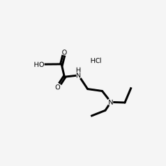 CCN(CC)CCNC(=O)C(=O)O.Cl